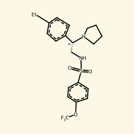 CCc1ccc([C@@H](CNS(=O)(=O)c2ccc(OC(F)(F)F)cc2)N2CCCC2)cc1